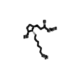 CCCCCC(=O)CC[C@@H]1CC[C@H](O)[C@H]1CCCCCCC(=O)O